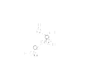 COc1cc2nc(C)nc(NCCOc3cccc(C(F)(F)C(C)(C)O)c3F)c2cc1OC[C@@H]1CNCCO1